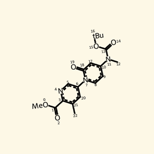 COC(=O)c1ncc(-n2ccc(N(C)C(=O)OC(C)(C)C)cc2=O)cc1C